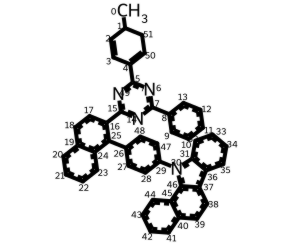 CC1C=CC(c2nc(-c3ccccc3)nc(-c3ccc4ccccc4c3-c3ccc(-n4c5ccccc5c5ccc6ccccc6c54)cc3)n2)=CC1